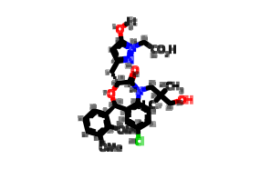 CCOc1cc(C[C@H]2O[C@H](c3cccc(OC)c3OC)c3cc(Cl)ccc3N(CC(C)(C)CO)C2=O)nn1CC(=O)O